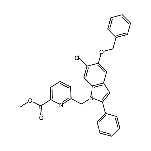 COC(=O)c1cccc(Cn2c(-c3ccccc3)cc3cc(OCc4ccccc4)c(Cl)cc32)n1